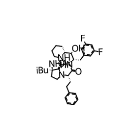 CC[C@@H](C)[C@@]1(NC(C)=O)CCN([C@@H](CCc2ccccc2)C(=O)N[C@@H](Cc2cc(F)cc(F)c2)[C@@H](O)[C@H]2CCCCN2)C1=O